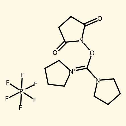 F[P-](F)(F)(F)(F)F.O=C1CCC(=O)N1OC(N1CCCC1)=[N+]1CCCC1